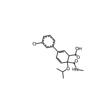 CNC(=O)C1(OC(C)C)C=CC(c2cccc(Cl)c2)=CC1C(=O)O